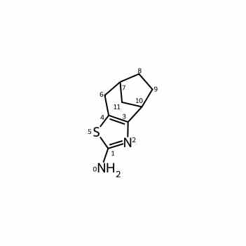 Nc1nc2c(s1)CC1CCC2C1